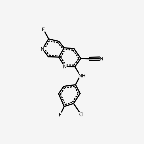 N#Cc1cc2cc(F)ncc2nc1Nc1ccc(F)c(Cl)c1